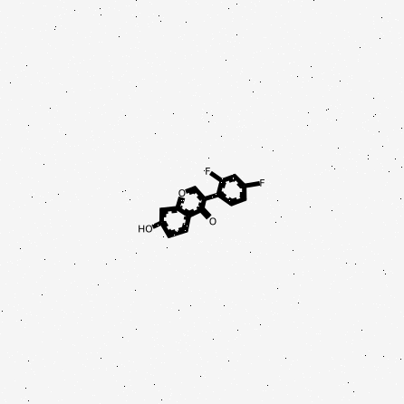 O=c1c(-c2ccc(F)cc2F)coc2cc(O)ccc12